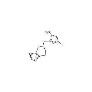 Cc1cc(N)n(CC2CCn3ccnc3C2)n1